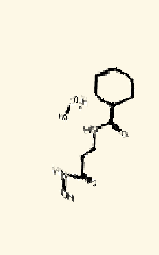 O=C(CCNC(=O)C1CCCCC1)NO.O=C(O)O